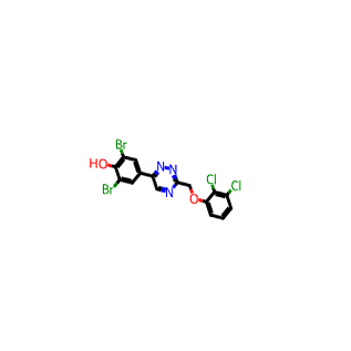 Oc1c(Br)cc(-c2cnc(COc3cccc(Cl)c3Cl)nn2)cc1Br